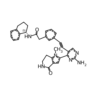 Cn1c(-c2nc(N)ncc2C#Cc2cccc(CC(=O)N[C@H]3CCCc4ccccc43)c2)cc2c1CCNC2=O